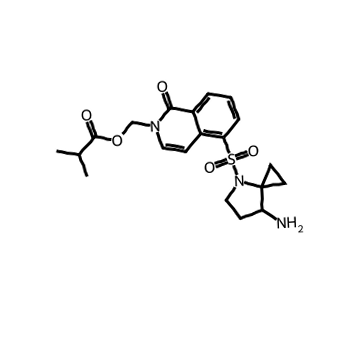 CC(C)C(=O)OCn1ccc2c(S(=O)(=O)N3CCC(N)C34CC4)cccc2c1=O